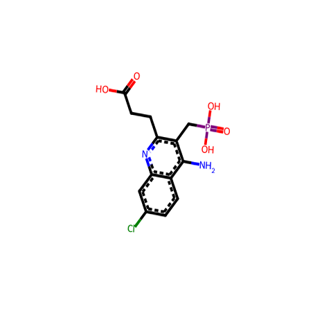 Nc1c(CP(=O)(O)O)c(CCC(=O)O)nc2cc(Cl)ccc12